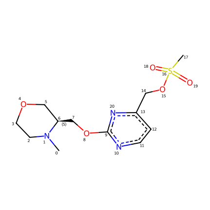 CN1CCOC[C@H]1COc1nccc(COS(C)(=O)=O)n1